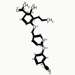 CCCc1c(OCc2ccc(Oc3cccc(C#N)c3)nc2)ccc(C(C)=O)c1O